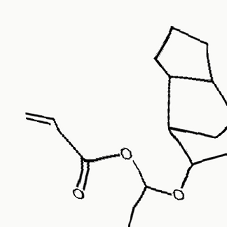 C=CC(=O)OC(C)OC1CC2CC1C1CCCC21